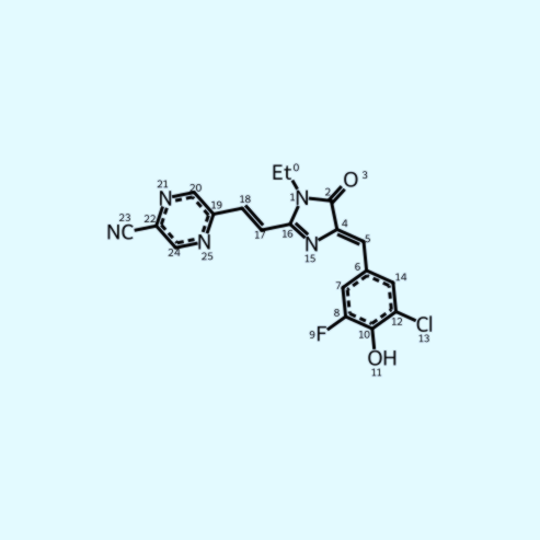 CCN1C(=O)/C(=C/c2cc(F)c(O)c(Cl)c2)N=C1/C=C/c1cnc(C#N)cn1